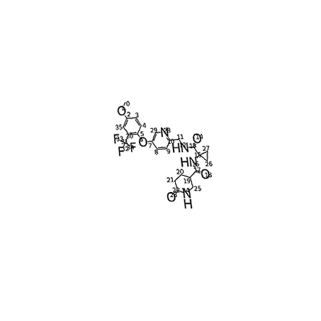 COc1ccc(Oc2ccc(CNC(=O)C3(NC(=O)C4CCC(=O)NC4)CC3)nc2)c(C(F)(F)F)c1